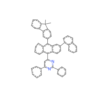 CC1(C)c2ccccc2-c2cc(-c3c4ccccc4c(-c4cc(-c5ccccc5)nc(-c5ccccc5)n4)c4ccc(-c5cccc6ccccc56)cc34)ccc21